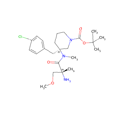 COC[C@@](C)(N)C(=O)N(C)[C@@]1(Cc2ccc(Cl)cc2)CCCN(C(=O)OC(C)(C)C)C1